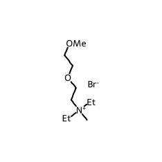 CC[N+](C)(CC)CCOCCOC.[Br-]